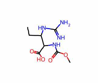 CCC(NC(=N)N)C(NC(=O)OC)C(=O)O